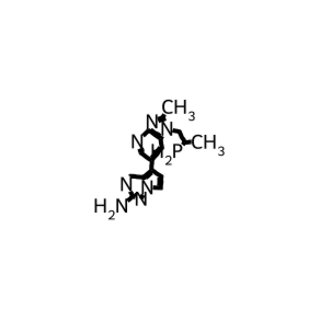 Cc1nc2ncc(-c3ccn4nc(N)ncc34)cc2n1CC(C)P